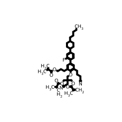 C=C(C)C(=O)OCCCc1cc(-c2ccc(C3CCC(CCCCC)CC3)cc2F)cc(CCCC#N)c1OCC(CC#N)(COC(=O)C(=C)C)COC(=O)C(=C)C